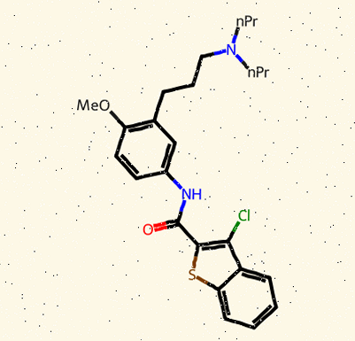 CCCN(CCC)CCCc1cc(NC(=O)c2sc3ccccc3c2Cl)ccc1OC